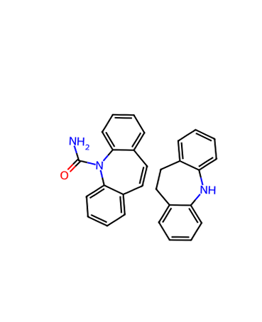 NC(=O)N1c2ccccc2C=Cc2ccccc21.c1ccc2c(c1)CCc1ccccc1N2